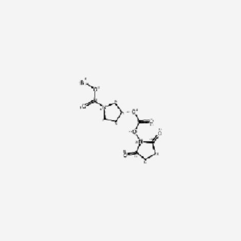 CC(C)(C)OC(=O)N1CC[C@@H](OC(=O)ON2C(=O)CCC2=O)C1